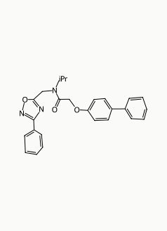 CC(C)N(Cc1nc(-c2ccccc2)no1)C(=O)COc1ccc(-c2ccccc2)cc1